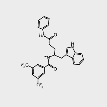 CN(C(=O)c1cc(C(F)(F)F)cc(C(F)(F)F)c1)C(CCC(=O)Nc1ccccc1)Cc1c[nH]c2ccccc12